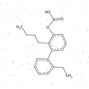 CCCCc1c(OC(=O)O)cccc1-c1ccccc1CC